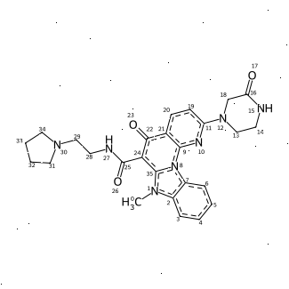 Cn1c2ccccc2n2c3nc(N4CCNC(=O)C4)ccc3c(=O)c(C(=O)NCCN3CCCC3)c12